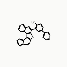 Brc1ccc(-c2ccccc2)cc1-c1cc2ccccc2c2c1sc1ccc3ccccc3c12